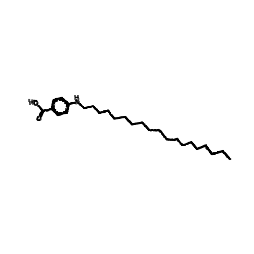 CCCCCCCCCCCCCCCCCCCNc1ccc(C(=O)O)cc1